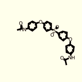 CC(=O)Nc1ccc(Oc2ccc(S(=O)(=O)c3ccc(Oc4ccc(NC(C)=O)cc4)cc3)cc2)cc1